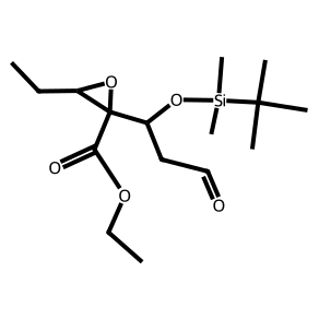 CCOC(=O)C1(C(CC=O)O[Si](C)(C)C(C)(C)C)OC1CC